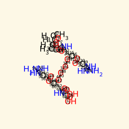 CC(C)(C)OC(=O)C[C@H](NC(=O)CCc1ccc(OC(=O)c2ccc(NC(=N)N)cc2)cc1OCCOCCOCCOc1cc(OC(=O)c2ccc(NC(=N)N)cc2)ccc1CCC(=O)N[C@@H](CC(=O)O)C(=O)O)C(=O)OC(C)(C)C